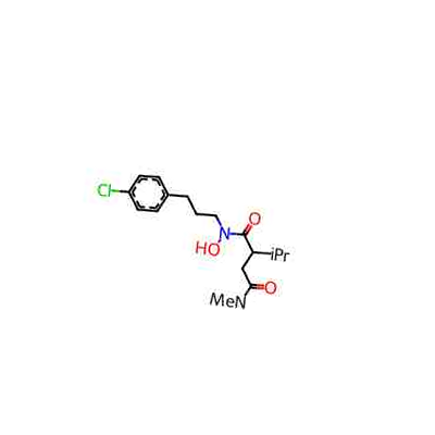 CNC(=O)CC(C(=O)N(O)CCCc1ccc(Cl)cc1)C(C)C